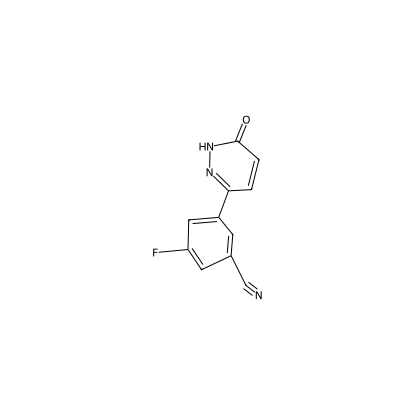 N#Cc1cc(F)cc(-c2ccc(=O)[nH]n2)c1